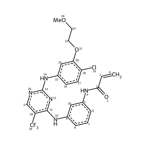 C=CC(=O)Nc1cccc(Nc2nc(Nc3ccc(Cl)c(OCCOC)c3)ncc2C(F)(F)F)c1